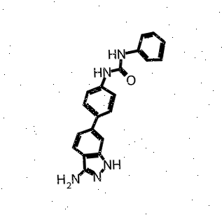 Nc1n[nH]c2cc(-c3ccc(NC(=O)Nc4ccccc4)cc3)ccc12